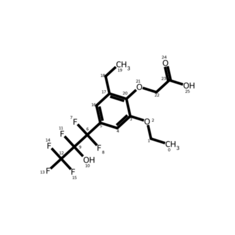 CCOc1cc(C(F)(F)C(O)(F)C(F)(F)F)cc(CC)c1OCC(=O)O